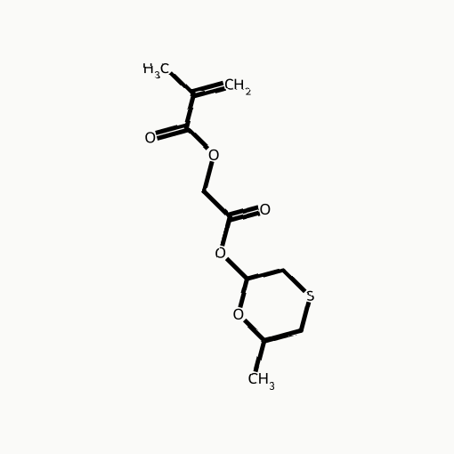 C=C(C)C(=O)OCC(=O)OC1CSCC(C)O1